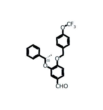 C[C@H](Oc1cc(C=O)ccc1OCc1ccc(OC(F)(F)F)cc1)c1ccccc1